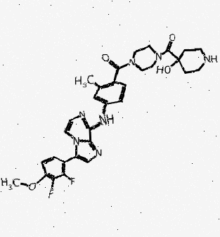 COc1ccc(-c2cnc3c(Nc4ccc(C(=O)N5CCN(C(=O)C6(O)CCNCC6)CC5)c(C)c4)nccn23)c(F)c1F